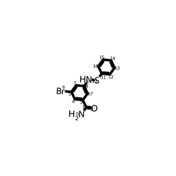 NC(=O)c1cc(Br)cc(NSc2ccccc2)c1